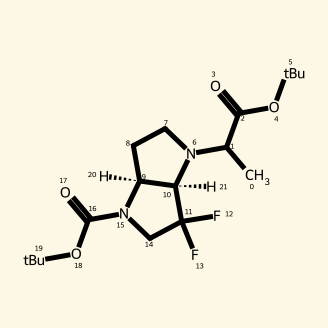 CC(C(=O)OC(C)(C)C)N1CC[C@H]2[C@@H]1C(F)(F)CN2C(=O)OC(C)(C)C